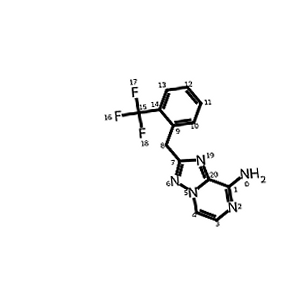 Nc1nccn2nc(Cc3ccccc3C(F)(F)F)nc12